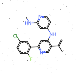 C=C(C)c1cnc(-c2cc(Cl)ccc2F)cc1Nc1ccnc(NC)c1